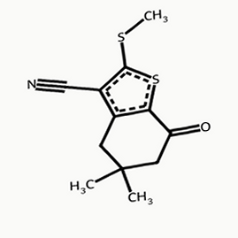 CSc1sc2c(c1C#N)CC(C)(C)CC2=O